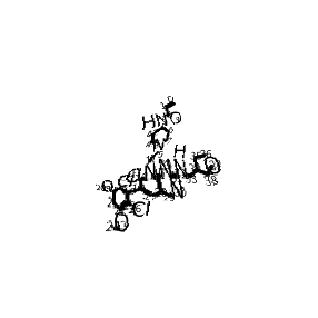 C=CC(=O)NC1CCN(CCn2c(=O)c(-c3c(Cl)c(OC)cc(OC)c3Cl)cc3cnc(NCC4CCOC4)nc32)CC1